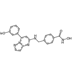 COc1cccc(-c2cc(NCc3ccc(C(=O)NO)cc3)nc3ccnn23)c1